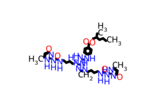 C=C(/N=C(\N=C(/N)Nc1ccc(C(=O)OCC(CC)CCCC)cc1)NCCCCNC(=O)Nc1nc(=O)cc(C)[nH]1)NCCCCNC(=O)Nc1nc(=O)cc(C)[nH]1